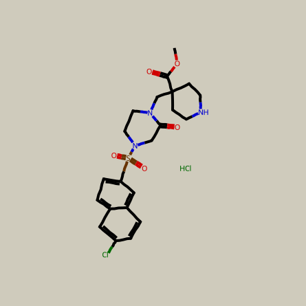 COC(=O)C1(CN2CCN(S(=O)(=O)c3ccc4cc(Cl)ccc4c3)CC2=O)CCNCC1.Cl